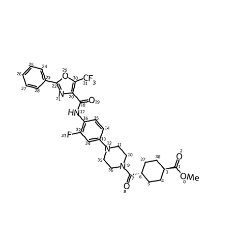 COC(=O)[C@H]1CC[C@H](C(=O)N2CCN(c3ccc(NC(=O)c4nc(-c5ccccc5)oc4C(F)(F)F)c(F)c3)CC2)CC1